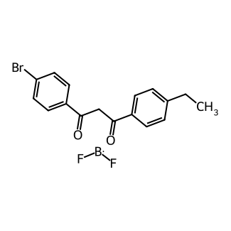 CCc1ccc(C(=O)CC(=O)c2ccc(Br)cc2)cc1.F[B]F